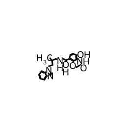 CC(CCn1cnc2ccccc21)CNCC(O)c1ccc(O)c2c1OCC(=O)N2